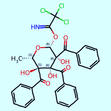 C[C@@H]1O[C@H](OC(=N)C(Cl)(Cl)Cl)[C@@](O)(C(=O)c2ccccc2)[C@@](O)(C(=O)c2ccccc2)[C@]1(O)C(=O)c1ccccc1